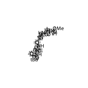 COC(=O)NC(C(=O)N1CCC[C@H]1C(=O)Nc1cn2cc(-c3cccc(NC(=O)[C@@H]4CCCN4C(=O)C(NC(=O)OC(C)(C)C)c4ccccc4)c3)sc2n1)C(C)C